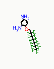 Nc1ccc(OCC(F)(F)C(F)(F)C(F)(F)C(F)(F)C(F)(F)C(F)(F)F)c(N)c1